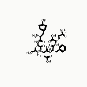 CC(C)C[C@H](NC(=O)[C@@H](N)Cc1ccc(O)cc1)C(=O)N[C@@H](CC(=O)O)C(=O)N[C@@H](Cc1ccccc1)C(=O)N[C@@H](CCC(N)=O)C(=O)O